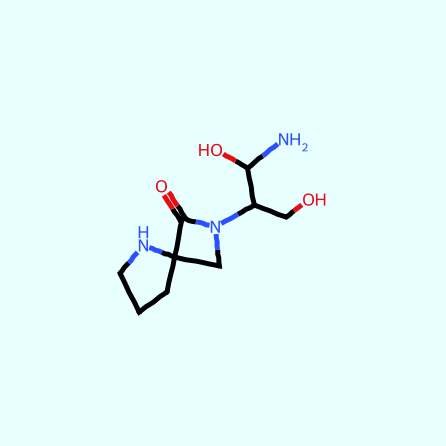 NC(O)C(CO)N1CC2(CCCN2)C1=O